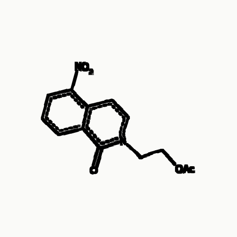 CC(=O)OCCn1ccc2c([N+](=O)[O-])cccc2c1=O